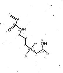 C=CC(=O)NCCC[N+](C)(C)CC(C)O